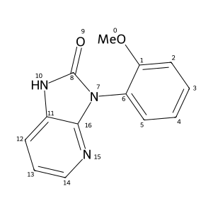 COc1ccccc1-n1c(=O)[nH]c2cccnc21